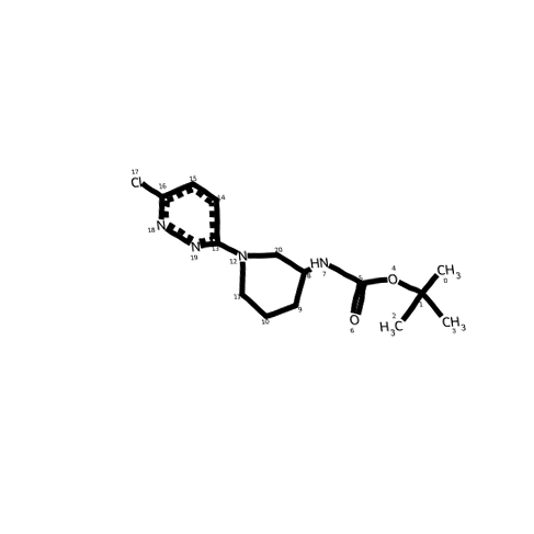 CC(C)(C)OC(=O)NC1CCCN(c2ccc(Cl)nn2)C1